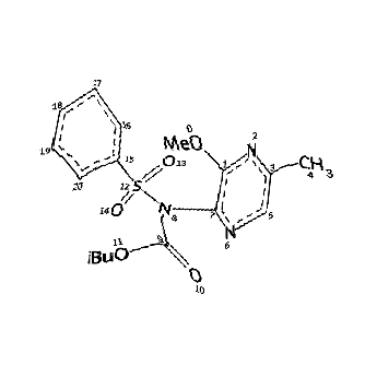 COc1nc(C)cnc1N(C(=O)OCC(C)C)S(=O)(=O)c1ccccc1